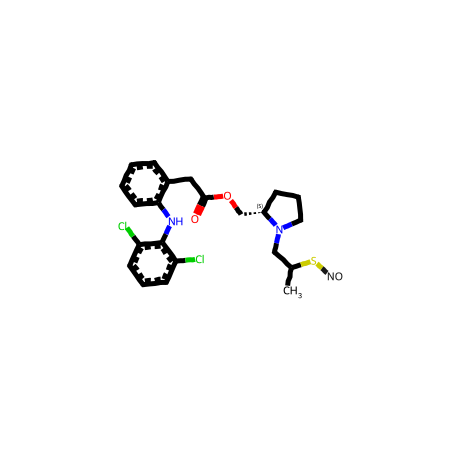 CC(CN1CCC[C@H]1COC(=O)Cc1ccccc1Nc1c(Cl)cccc1Cl)SN=O